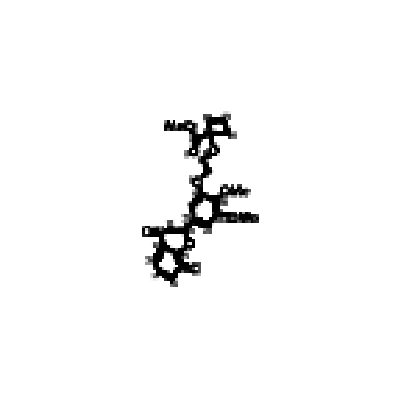 COC(=O)C1(OCCOc2cc(-c3cc(=O)c4cccc(Cl)c4o3)cc(OC)c2OC)CCC1